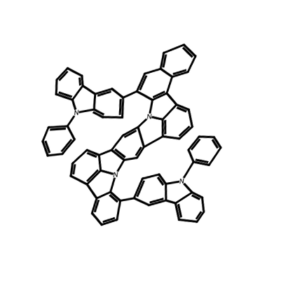 c1ccc(-n2c3ccccc3c3cc(-c4cccc5c6cccc7c8cc9c(cc8n(c45)c76)c4cccc5c6c7ccccc7cc(-c7ccc8c(c7)c7ccccc7n8-c7ccccc7)c6n9c45)ccc32)cc1